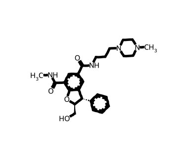 CNC(=O)c1cc(C(=O)NCCCN2CCN(C)CC2)cc2c1O[C@H](CO)[C@H]2c1ccccc1